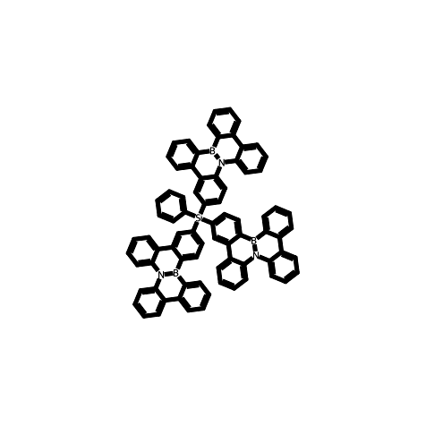 c1ccc([Si](c2ccc3c(c2)-c2ccccc2N2B3c3ccccc3-c3ccccc32)(c2ccc3c(c2)-c2ccccc2N2B3c3ccccc3-c3ccccc32)c2ccc3c(c2)-c2ccccc2B2c4ccccc4-c4ccccc4N23)cc1